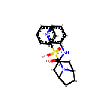 O=C(Nc1cccnc1)N1C2CCC1CC(S(=O)(=O)c1ccccc1)C2